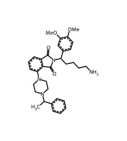 COc1ccc(C(CCCCN)N2C(=O)c3cccc(N4CCN(C(C)c5ccccc5)CC4)c3C2=O)cc1OC